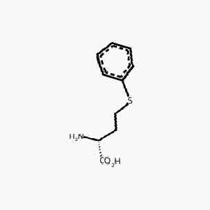 N[C@H](CCSc1ccccc1)C(=O)O